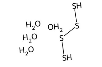 O.O.O.O.SSSS